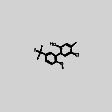 COc1ccc(C(F)(F)F)cc1-c1cc(Cl)c(C)cc1O